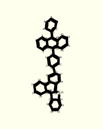 c1ccc(-c2c3ccccc3c(-c3ccc(-c4ccc5c(c4)c4ccccc4c4c6ccccc6sc54)cc3)c3ccccc23)cc1